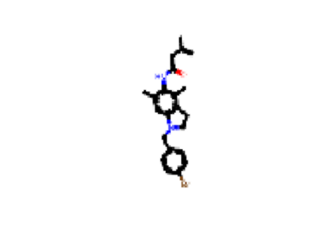 C=C(C)CC(=O)Nc1c(C)cc2c(c1C)CCN2Cc1ccc(Br)cc1